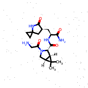 CC1(C)[C@@H]2[C@@H](C(=O)N[C@@H](C[C@@H]3CC4(CC4)NC3=O)C(N)=O)N(C(=O)CN)C[C@@H]21